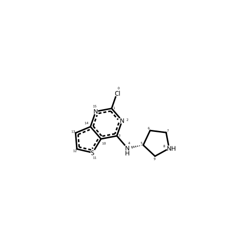 Clc1nc(N[C@@H]2CCNC2)c2sccc2n1